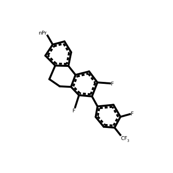 CCCc1ccc2c(c1)CCc1c-2cc(F)c(-c2ccc(C(F)(F)F)c(F)c2)c1F